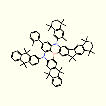 Cc1ccccc1-c1cc2c3c(c1)N(c1cc4c(cc1C)C(C)(C)CCC4(C)C)c1cc4c(cc1B3c1cc3c(cc1N2c1ccc2c(c1)C(C)(C)c1ccccc1C2(C)C)C(C)(C)c1ccccc1C3(C)C)C(C)(C)c1cc2c(cc1-4)C(C)(C)CCC2(C)C